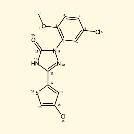 COc1ccc(Cl)cc1-n1nc(-c2cc(Cl)cs2)[nH]c1=O